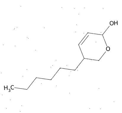 CCCCCCC1C=CC(O)OC1